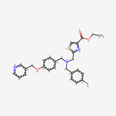 CCOC(=O)c1csc(CN(Cc2ccc(F)cc2)Cc2ccc(OCc3cccnc3)cc2)n1